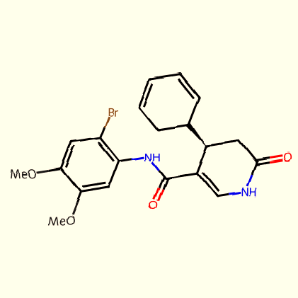 COc1cc(Br)c(NC(=O)C2=CNC(=O)C[C@@H]2C2C=CC=CC2)cc1OC